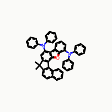 CC1(C)c2ccc3ccccc3c2-c2c1cc(N(c1ccccc1)c1ccccc1)c1c2oc2c(N(c3ccccc3)c3ccccc3)cccc21